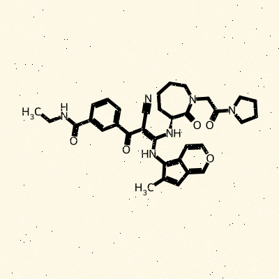 CCNC(=O)c1cccc(C(=O)C(C#N)=C(Nc2c(C)cc3coccc2-3)N[C@H]2CCCCN(CC(=O)N3CCCC3)C2=O)c1